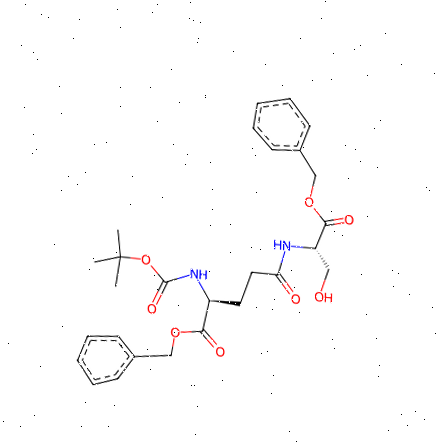 CC(C)(C)OC(=O)N[C@@H](CCC(=O)N[C@@H](CO)C(=O)OCc1ccccc1)C(=O)OCc1ccccc1